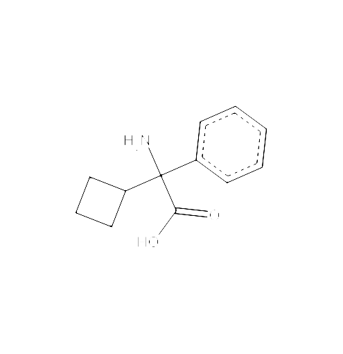 NC(C(=O)O)(c1ccccc1)C1CCC1